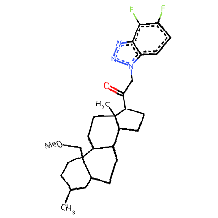 COCC12CCC(C)CC1CCC1C3CCC(C(=O)Cn4nnc5c(F)c(F)ccc54)C3(C)CCC12